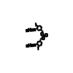 CCCCCCc1cc(COC(=O)OCc2ccc(I)c(CCCCCC)c2)ccc1I